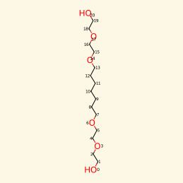 OCCOCCOCCCCCCCOCCOCCO